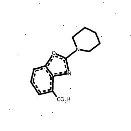 O=C(O)c1cccc2oc(N3CCCCC3)nc12